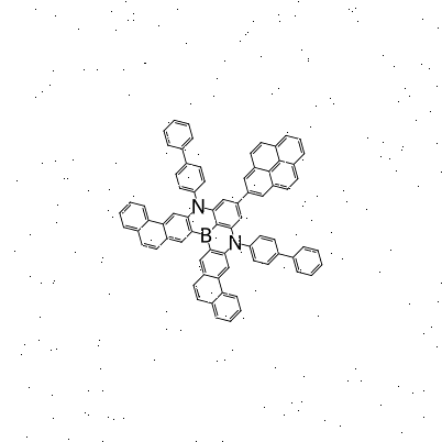 c1ccc(-c2ccc(N3c4cc5c(ccc6ccccc65)cc4B4c5cc6ccc7ccccc7c6cc5N(c5ccc(-c6ccccc6)cc5)c5cc(-c6cc7ccc8cccc9ccc(c6)c7c89)cc3c54)cc2)cc1